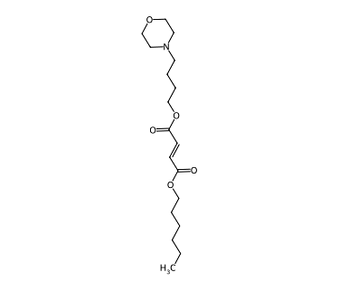 CCCCCCOC(=O)/C=C/C(=O)OCCCCN1CCOCC1